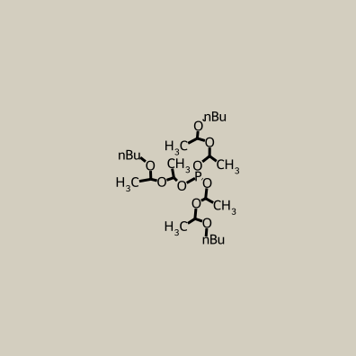 CCCCOC(C)OC(C)OP(OC(C)OC(C)OCCCC)OC(C)OC(C)OCCCC